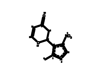 Cn1ncc([N+](=O)[O-])c1C1CC(=O)C=CO1